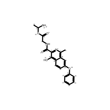 Cc1nc(C(=O)NCC(=O)OC(C)N)c(O)c2ccc(Oc3ccccc3)cc12